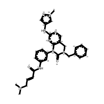 CN(C)C/C=C/C(=O)Nc1cccc(N2C(=O)N(Cc3ccccc3)Cc3cnc(Nc4cnn(C)c4)nc32)c1